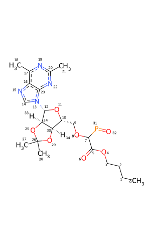 CCCCOC(=O)C(OC[C@H]1O[C@@H](n2cnc3c(C)nc(C)nc32)[C@@H]2OC(C)(C)O[C@@H]21)P=O